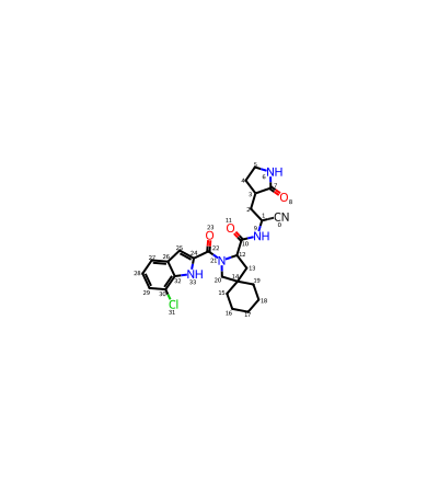 N#CC(CC1CCNC1=O)NC(=O)C1CC2(CCCCC2)CN1C(=O)c1cc2cccc(Cl)c2[nH]1